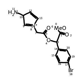 COC(=O)C(OC(=O)C[N+]1=CC(N)C=C1)c1ccc(Br)cc1